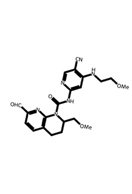 COCCNc1cc(NC(=O)N2c3nc(C=O)ccc3CCC2COC)ncc1C#N